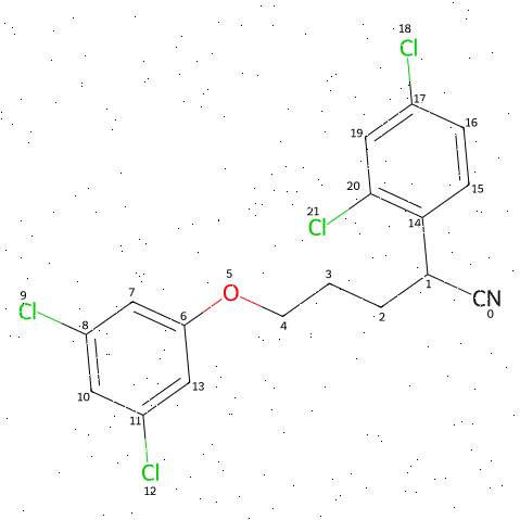 N#CC(CCCOc1cc(Cl)cc(Cl)c1)c1ccc(Cl)cc1Cl